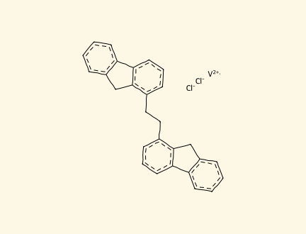 [Cl-].[Cl-].[V+2].c1ccc2c(c1)Cc1c(CCc3cccc4c3Cc3ccccc3-4)cccc1-2